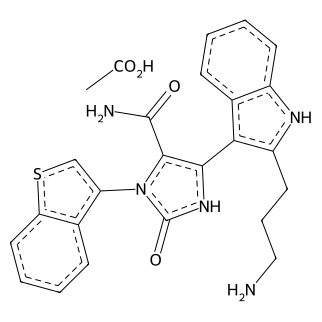 CC(=O)O.NCCCc1[nH]c2ccccc2c1-c1[nH]c(=O)n(-c2csc3ccccc23)c1C(N)=O